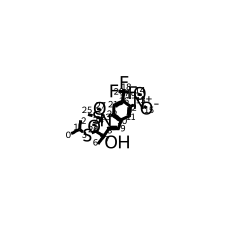 CC(C)SCC(C)(O)c1cc2cc([N+](=O)[O-])c(C(F)(F)F)cc2n1S(C)(=O)=O